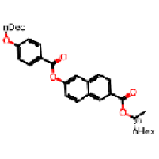 CCCCCCCCCCOc1ccc(C(=O)Oc2ccc3cc(C(=O)O[C@H](C)CCCCCC)ccc3c2)cc1